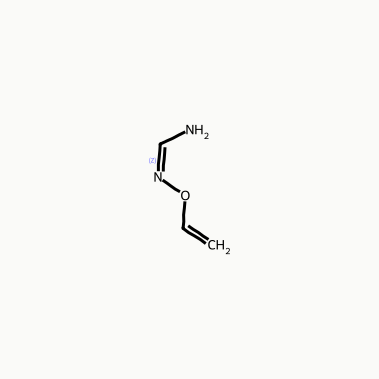 C=CO/N=C\N